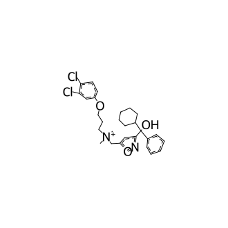 C[N+](C)(CCCOc1ccc(Cl)c(Cl)c1)Cc1cc(C(O)(c2ccccc2)C2CCCCC2)no1